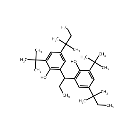 CCC(c1cc(C(C)(C)CC)cc(C(C)(C)C)c1O)c1cc(C(C)(C)CC)cc(C(C)(C)C)c1O